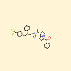 C=C(NCC[C@@H](Cc1ccc(C(F)(F)F)cc1)c1ccccc1)C1CCn2c(C(=O)c3ccccc3)ccc21